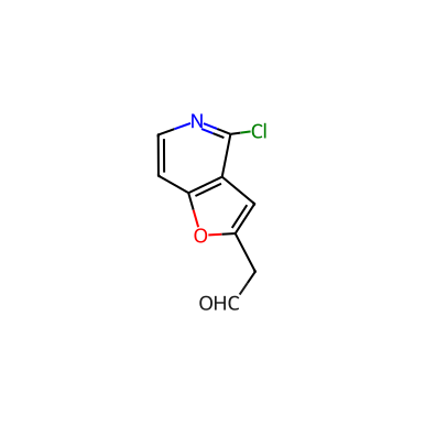 O=CCc1cc2c(Cl)nccc2o1